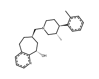 Cc1ccccc1[C@@H]1CCN(C[C@@H]2CCc3cccnc3[C@@H](O)C2)C[C@H]1C